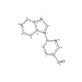 O=Cc1ccc(-n2cnc3cnccc32)nc1